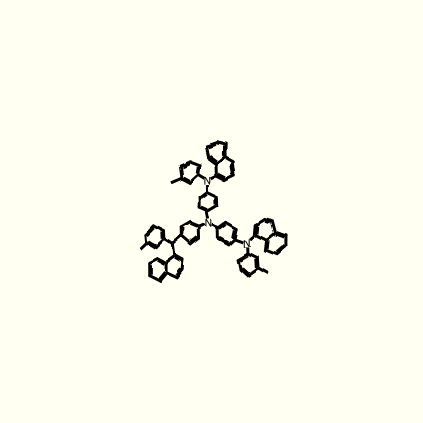 Cc1cccc(C(c2ccc(N(c3ccc(N(c4cccc(C)c4)c4cccc5ccccc45)cc3)c3ccc(N(c4cccc(C)c4)c4cccc5ccccc45)cc3)cc2)c2cccc3ccccc23)c1